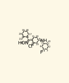 Cc1ccc(F)cc1Nc1ccc(C(=NO)c2ccccc2C)c(Cl)c1